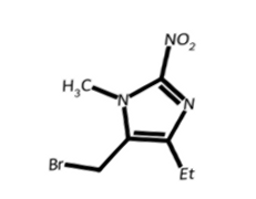 CCc1nc([N+](=O)[O-])n(C)c1CBr